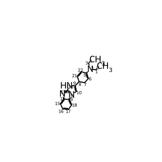 CCN(CC)C1=CCC(c2cn3c(nc4ccccc43)[nH]2)C=C1